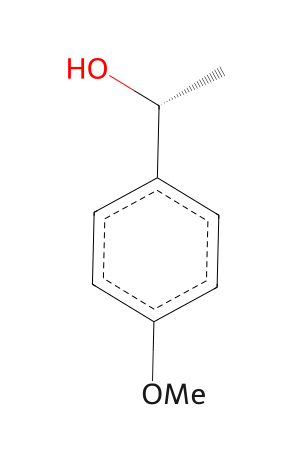 COc1ccc([C@@H](C)O)cc1